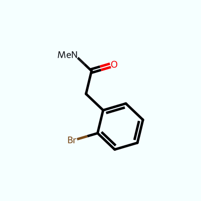 CNC(=O)Cc1ccccc1Br